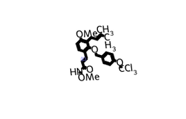 CONC(=O)/C=C/c1ccc(OC)c(CC=C(C)C)c1OCc1ccc(OC(Cl)(Cl)Cl)cc1